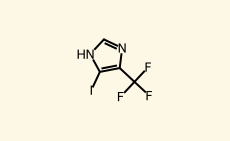 FC(F)(F)c1nc[nH]c1I